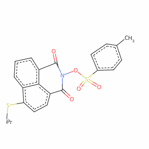 Cc1ccc(S(=O)(=O)ON2C(=O)c3cccc4c(SC(C)C)ccc(c34)C2=O)cc1